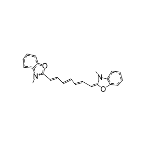 CN1C(=CC=CC=CC=Cc2oc3ccccc3[n+]2C)Oc2ccccc21